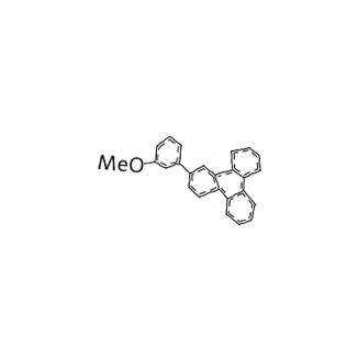 COc1cccc(-c2ccc3c4ccccc4c4ccccc4c3c2)c1